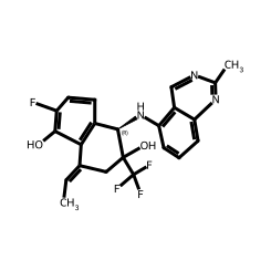 CC=C1CC(O)(C(F)(F)F)[C@H](Nc2cccc3nc(C)ncc23)c2ccc(F)c(O)c21